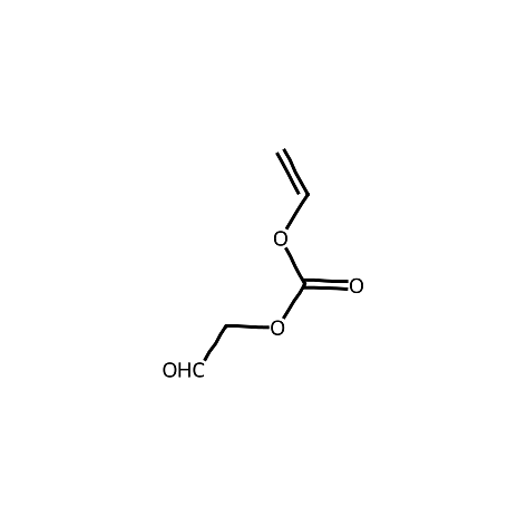 C=COC(=O)OCC=O